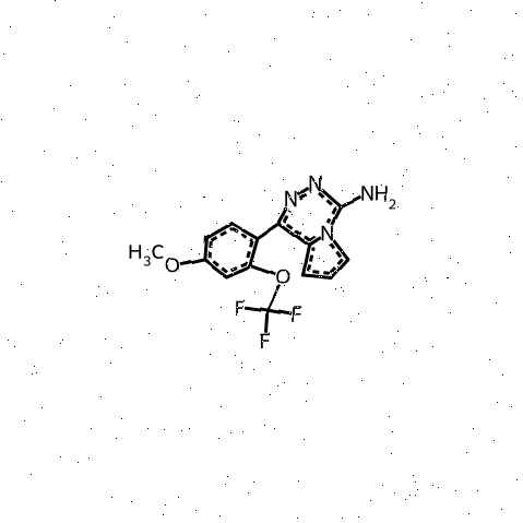 COc1ccc(-c2nnc(N)n3cccc23)c(OC(F)(F)F)c1